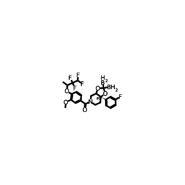 BC1(B)OC2CN(C(=O)c3ccc(OC(C)C(F)(F)C(F)F)c(OC)c3)CC[C@]2(c2cccc(F)c2)O1